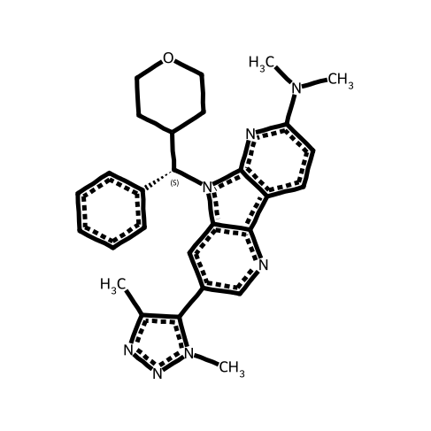 Cc1nnn(C)c1-c1cnc2c3ccc(N(C)C)nc3n([C@H](c3ccccc3)C3CCOCC3)c2c1